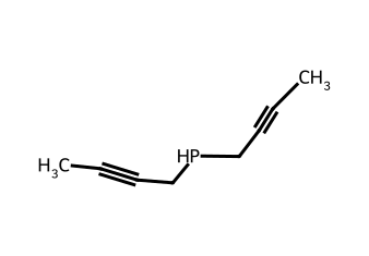 CC#CCPCC#CC